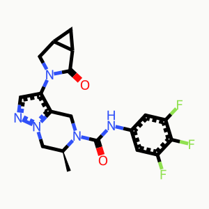 C[C@H]1Cn2ncc(N3CC4CC4C3=O)c2CN1C(=O)Nc1cc(F)c(F)c(F)c1